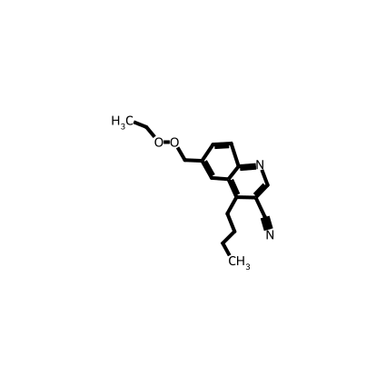 CCCCc1c(C#N)cnc2ccc(COOCC)cc12